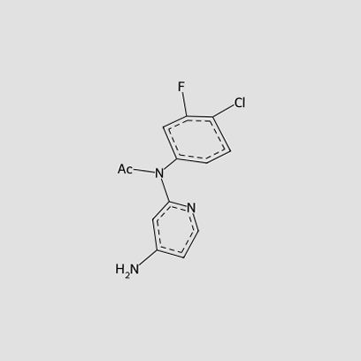 CC(=O)N(c1ccc(Cl)c(F)c1)c1cc(N)ccn1